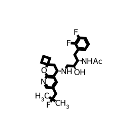 CC(=O)N[C@@H](Cc1cccc(F)c1F)[C@@H](O)CN[C@H]1CC2(CCC2)Oc2ncc(CC(C)(C)F)cc21